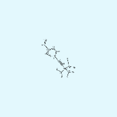 CC(C)[Si](C#Cc1ccc(C=O)cc1)(C(C)C)C(C)C